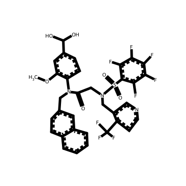 COc1cc(C(O)O)ccc1N(Cc1ccc2ccccc2c1)C(=O)CN(Cc1cnccc1C(F)(F)F)S(=O)(=O)c1c(F)c(F)c(F)c(F)c1F